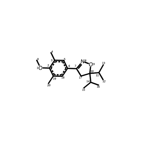 COc1c(C)cc(C2=NOC(C(C)C)(C(C)C)C2)cc1C